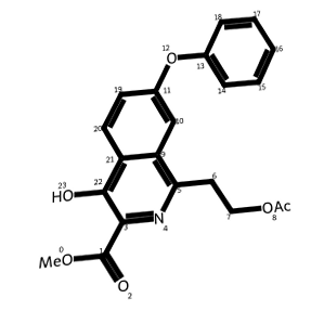 COC(=O)c1nc(CCOC(C)=O)c2cc(Oc3ccccc3)ccc2c1O